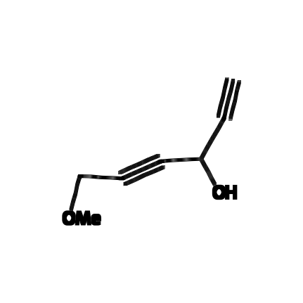 C#CC(O)C#CCOC